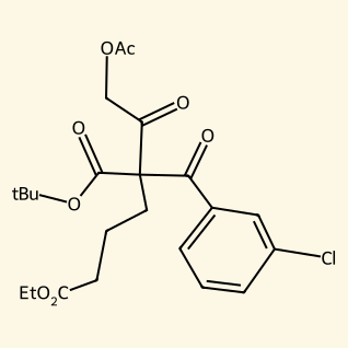 CCOC(=O)CCCC(C(=O)COC(C)=O)(C(=O)OC(C)(C)C)C(=O)c1cccc(Cl)c1